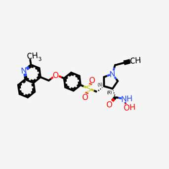 C#CCN1C[C@@H](CS(=O)(=O)c2ccc(OCc3cc(C)nc4ccccc34)cc2)[C@@H](C(=O)NO)C1